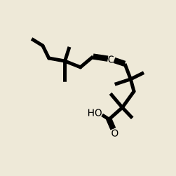 CCCC(C)(C)CC=C=CC(C)(C)CC(C)(C)C(=O)O